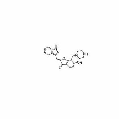 O=C1C(=Cc2n[nH]c3ccccc23)Oc2c1ccc(O)c2CN1CCNCC1